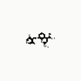 Cc1cc(C(=N)S)c2cccc(OCc3c(Cl)cncc3Cl)c2n1